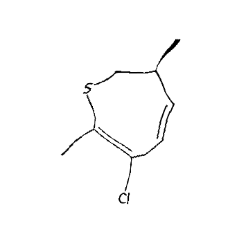 CC1=C(Cl)C=C[C@H](C)CS1